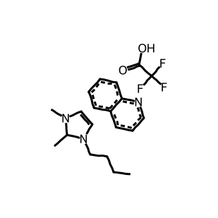 CCCCN1C=CN(C)C1C.O=C(O)C(F)(F)F.c1ccc2ncccc2c1